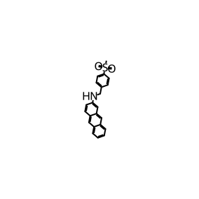 CS(=O)(=O)c1ccc(CNc2ccc3cc4ccccc4cc3c2)cc1